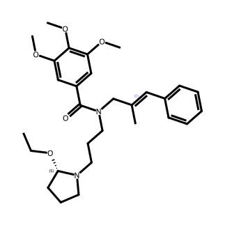 CCO[C@H]1CCCN1CCCN(C/C(C)=C/c1ccccc1)C(=O)c1cc(OC)c(OC)c(OC)c1